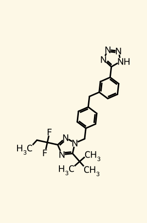 CCC(F)(F)c1nc(C(C)(C)C)n(Cc2ccc(Cc3cccc(-c4nnn[nH]4)c3)cc2)n1